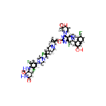 CCc1c(F)ccc2cc(O)cc(-c3ncc4c(N5CCC[C@@](C)(O)C5)nc(OCC5(CN6CCC7(CC6)CC(F)(CN6CCN(c8cc(F)c(NC9CCC(=O)NC9=O)c(F)c8)CC6)C7)CC5)nc4c3F)c12